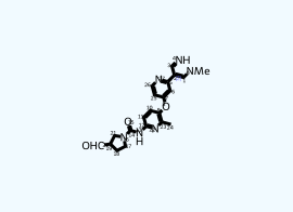 CN/C=C(\C=N)c1cc(Oc2ccc(NC(=O)N3CCC(C=O)C3)nc2C)ccn1